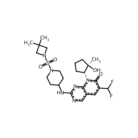 CC1(C)CN(S(=O)(=O)N2CCC(Nc3ncc4cc(C(F)F)c(=O)n([C@@H]5CCC[C@@]5(C)O)c4n3)CC2)C1